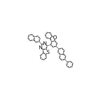 c1ccc(-c2ccc3cc(-c4cc(-c5nc(-c6ccc7ccccc7c6)nc6c5sc5ccccc56)c5c(c4)oc4ccccc45)ccc3c2)cc1